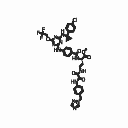 COC(=O)[C@H](CCNC(=O)C(=O)Nc1ccc(Cn2cncn2)cc1)NC(=O)c1ccc(Nc2nc(NC3(c4ccc(Cl)cc4)CC3)nc(OCC(F)(F)F)n2)cc1